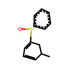 CC1C=CC=C([S+]([O-])c2ccccc2)C1